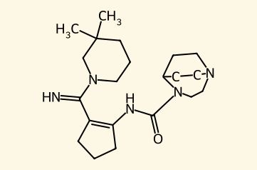 CC1(C)CCCN(C(=N)C2=C(NC(=O)N3CCN4CCC3CC4)CCC2)C1